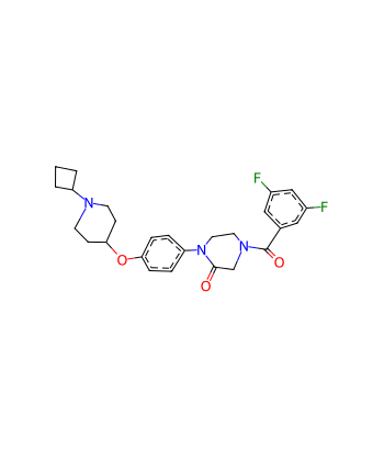 O=C(c1cc(F)cc(F)c1)N1CCN(c2ccc(OC3CCN(C4CCC4)CC3)cc2)C(=O)C1